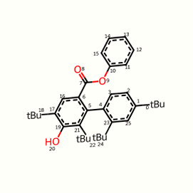 CC(C)(C)c1ccc(-c2c(C(=O)Oc3ccccc3)cc(C(C)(C)C)c(O)c2C(C)(C)C)c(C(C)(C)C)c1